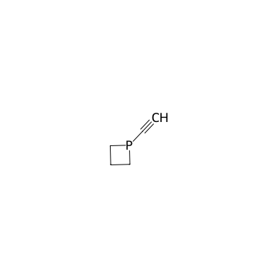 C#CP1CCC1